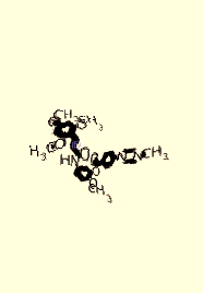 COc1cc(OC)c(/C=C/C(=O)Nc2ccc(OC)c(OC(=O)c3ccc(N4CCN(C)CC4)cc3)c2)c(OC)c1